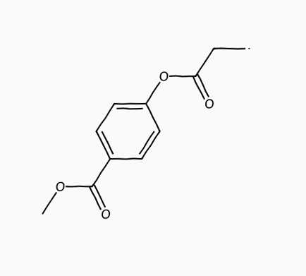 [CH2]CC(=O)Oc1ccc(C(=O)OC)cc1